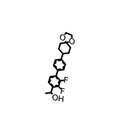 CC(O)c1ccc(-c2ccc(C3CCC4(CC3)OCCO4)cc2)c(F)c1F